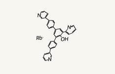 Oc1c(-c2ccc(-c3cccnc3)cc2)cc(-c2ccc(-c3cccnc3)cc2)cc1-c1ccccn1.[Rb]